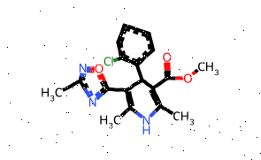 COC(=O)C1=C(C)NC(C)=C(c2nc(C)no2)C1c1ccccc1Cl